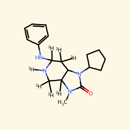 [2H]N1C([2H])([2H])C2([2H])C(N(C3CCCC3)C(=O)N2C)C([2H])([2H])C1([2H])Nc1ccccc1